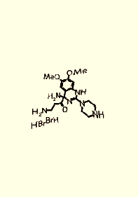 Br.Br.COc1cc2c(cc1OC)C(N)(C(=O)CCN)N=C(N1CCNCC1)N2